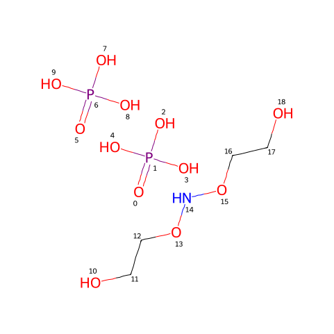 O=P(O)(O)O.O=P(O)(O)O.OCCONOCCO